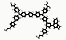 CCCCc1ccc(-c2ccc(N(c3ccc(-c4ccc(-c5ccc(N(c6ccc(-c7cc(-c8ccc(CCCC)cc8)cc(-c8cc9c(c%10ccccc8%10)CC9)c7)cc6)c6ccc(C(C)CC)cc6)cc5)cc4)cc3)c3ccc(C(C)CC)cc3)cc2)cc1